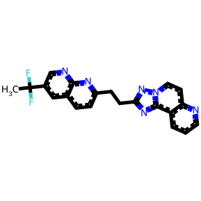 CC(F)(F)c1cnc2nc(CCc3nc4c5cccnc5ccn4n3)ccc2c1